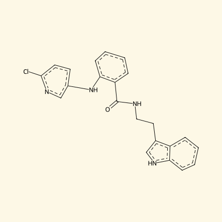 O=C(NCCc1c[nH]c2ccccc12)c1ccccc1Nc1ccc(Cl)nc1